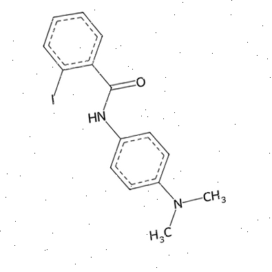 CN(C)c1ccc(NC(=O)c2ccccc2I)cc1